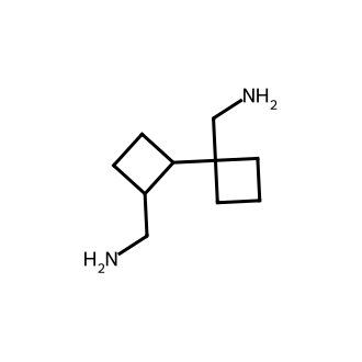 NCC1CCC1C1(CN)CCC1